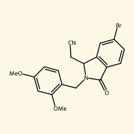 COc1ccc(CN2C(=O)c3ccc(Br)cc3C2CC#N)c(OC)c1